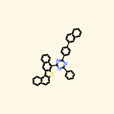 c1ccc(-c2nc(-c3ccc(-c4ccc5ccccc5c4)cc3)nc(-c3c4ccccc4cc4c3sc3ccc5ccccc5c34)n2)cc1